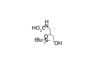 C[C@@H](NC(=O)O)C(CCO)O[Si](C)(C)C(C)(C)C